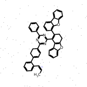 C/C=C\c1ccccc1C1=CC=C(c2nc(C3=C(c4cccc5c4oc4ccccc45)CCc4oc5ccccc5c43)nc(-c3ccccc3)n2)CC1